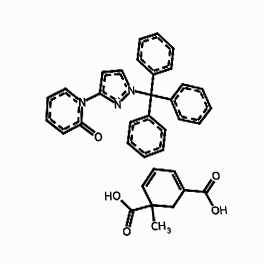 CC1(C(=O)O)C=CC=C(C(=O)O)C1.O=c1ccccn1-c1ccn(C(c2ccccc2)(c2ccccc2)c2ccccc2)n1